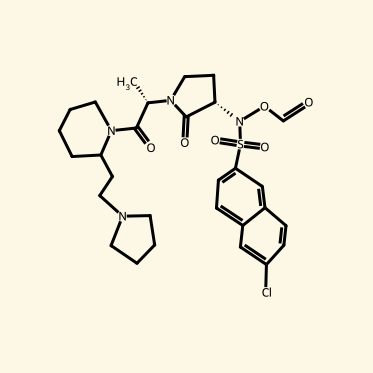 C[C@@H](C(=O)N1CCCCC1CCN1CCCC1)N1CC[C@H](N(OC=O)S(=O)(=O)c2ccc3cc(Cl)ccc3c2)C1=O